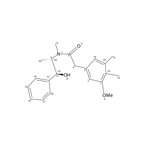 COc1cc(CC(=O)N(C)[C@@H](C)[C@@H](O)c2ccccc2)cc(C)c1C